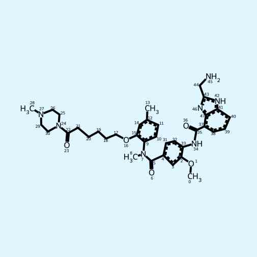 COc1cc(C(=O)N(C)c2ccc(C)cc2OCCCCCC(=O)N2CCN(C)CC2)ccc1NC(=O)c1cccc2[nH]c(CN)nc12